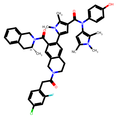 Cc1c(N(C(=O)c2cc(-c3cc4c(cc3C(=O)N3Cc5ccccc5C[C@H]3C)CN(C(=O)Cc3ccc(Cl)cc3F)CC4)n(C)c2C)c2ccc(O)cc2)cc(C#N)n1C